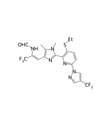 CCSc1ccc(-n2cc(C(F)(F)F)cn2)nc1-c1nc(/C=C(\NC=O)C(F)(F)F)c(C)n1C